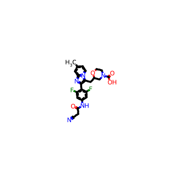 Cc1ccn2c(CC3CN(C(=O)O)CCO3)c(-c3c(F)cc(NC(=O)CC#N)cc3F)nc2c1